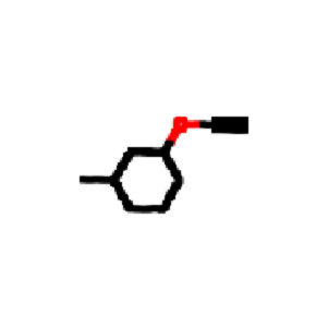 C#COC1CCCC(C)C1